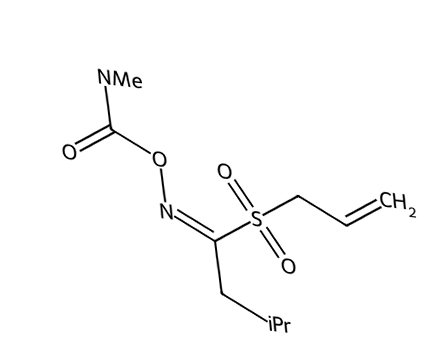 C=CCS(=O)(=O)C(CC(C)C)=NOC(=O)NC